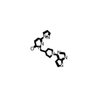 O=c1ccc(-n2cccn2)nn1CC1CCN(c2ncnc3sccc23)CC1